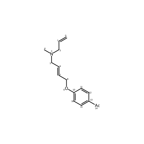 C=CCN(C)CC=CCOc1ccc(C(C)=O)cc1